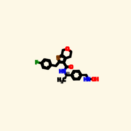 C[C@H](NC(=O)c1c(Cc2ccc(F)cc2)sc2c1CCOC2)c1ccc(CNO)cc1